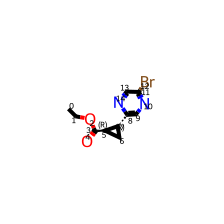 CCOC(=O)[C@@H]1C[C@H]1c1cnc(Br)cn1